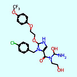 NC(O)N(CCO)C(=O)C1=CNC(OCCOc2ccc(OC(F)(F)F)cc2)N1Cc1ccc(Cl)cc1